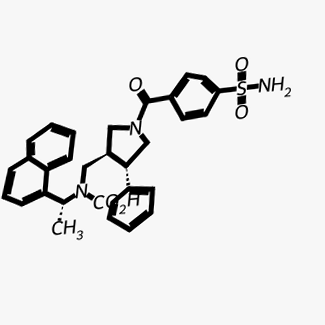 C[C@H](c1cccc2ccccc12)N(C[C@H]1CN(C(=O)c2ccc(S(N)(=O)=O)cc2)C[C@@H]1c1ccccc1)C(=O)O